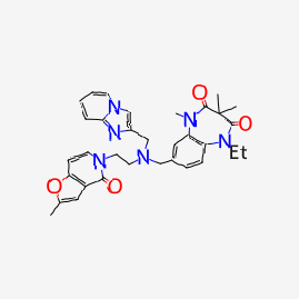 CCN1C(=O)C(C)(C)C(=O)N(C)c2cc(CN(CCn3ccc4oc(C)cc4c3=O)Cc3cn4ccccc4n3)ccc21